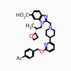 CC(=O)c1ccc(COc2cccc(C3CCN(Cc4nc5ccc(C(=O)O)cc5n4CC(C)[C@@H]4CCO4)CC3)n2)cc1